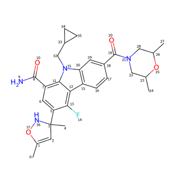 CC1=CC(C)(c2cc(C(N)=O)c3c(c2F)c2ccc(C(=O)N4CC(C)OC(C)C4)cc2n3CC2CC2)NO1